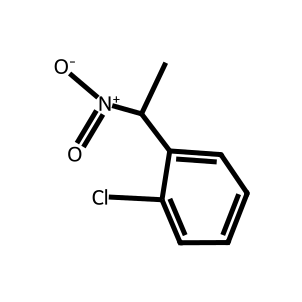 CC(c1ccccc1Cl)[N+](=O)[O-]